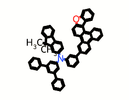 CC1(C)c2ccccc2-c2ccc(N(c3cccc(-c4ccc5c6ccccc6c6c(ccc7oc8ccccc8c76)c5c4)c3)c3cc(-c4ccccc4)cc(-c4ccccc4)c3)cc21